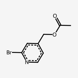 CC(=O)OCc1ccnc(Br)c1